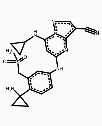 CS(=O)(=O)Cc1cc(Nc2cc(NC3CC3)n3ncc(C#N)c3n2)ccc1C1(N)CC1